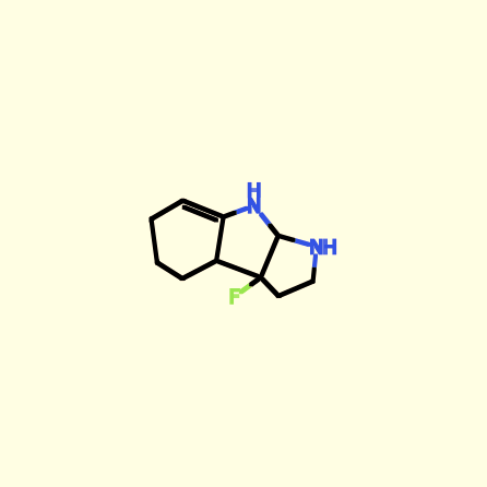 FC12CCNC1NC1=CCCCC12